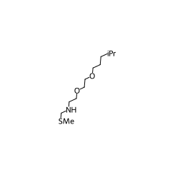 CSCNCCOCCOCCCC(C)C